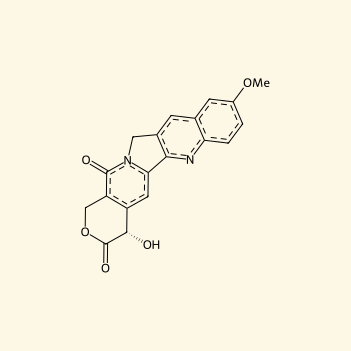 COc1ccc2nc3c(cc2c1)Cn1c-3cc2c(c1=O)COC(=O)[C@H]2O